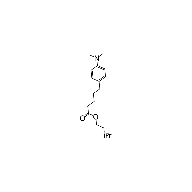 CC(C)CCOC(=O)CCCCc1ccc(N(C)C)cc1